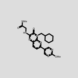 CNC(=O)CNc1nc2ccc(-c3cnc(OC)nc3)nc2n(CC2CCCCC2)c1=O